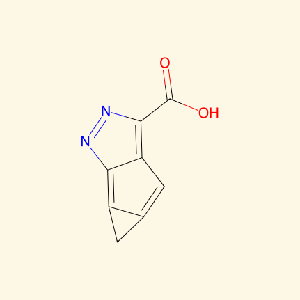 O=C(O)C1=C2C=C3CC3=C2N=N1